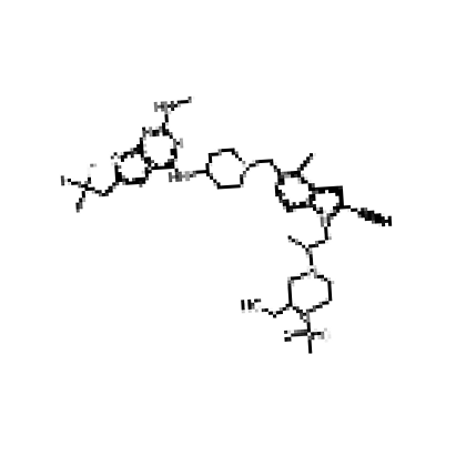 CNc1nc(NC2CCN(Cc3ccc4c(cc(C#N)n4C[C@H](C)N4CCN(S(C)(=O)=O)C(CO)C4)c3C)CC2)c2cc(CC(F)(F)F)sc2n1